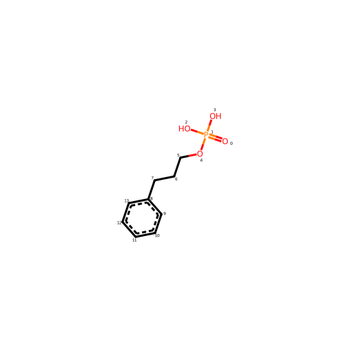 O=P(O)(O)OCCCc1ccccc1